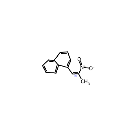 C/C(=C/c1cccc2ccccc12)[N+](=O)[O-]